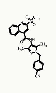 Cc1c(NC(=O)c2cc(S(C)(=O)=O)nc3ccccc23)c(C(F)(F)F)nn1Cc1ccc(C#N)cc1